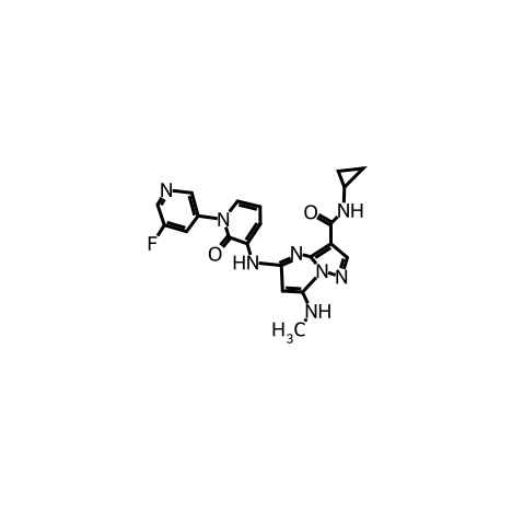 CNc1cc(Nc2cccn(-c3cncc(F)c3)c2=O)nc2c(C(=O)NC3CC3)cnn12